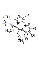 C/C=C\C=C(/C)C(C1CN(C)C(=O)c2c(O)c(=O)cnn21)n1cnc(I)c1